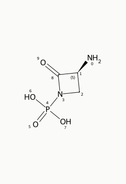 N[C@H]1CN(P(=O)(O)O)C1=O